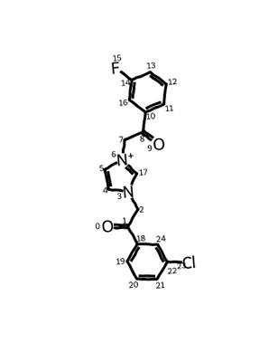 O=C(Cn1cc[n+](CC(=O)c2cccc(F)c2)c1)c1cccc(Cl)c1